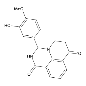 COc1ccc(C2NC(=O)c3cccc4c3N2CCC4=O)cc1O